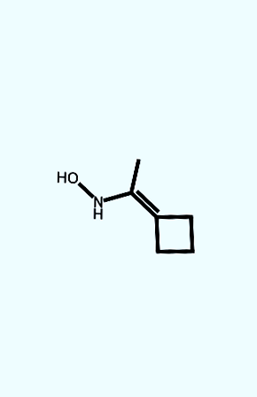 CC(NO)=C1CCC1